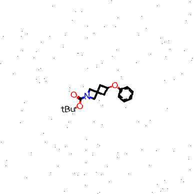 CC(C)(C)OC(=O)N1CC2(CC(Oc3ccccc3)C2)C1